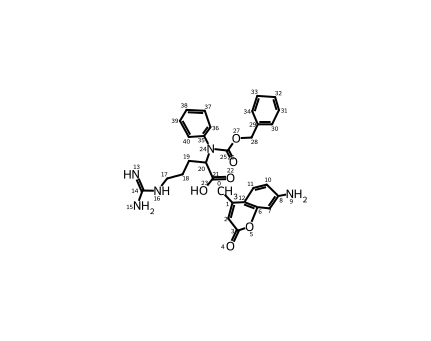 Cc1cc(=O)oc2cc(N)ccc12.N=C(N)NCCCC(C(=O)O)N(C(=O)OCc1ccccc1)c1ccccc1